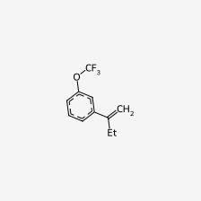 C=C(CC)c1cccc(OC(F)(F)F)c1